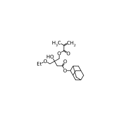 C=C(C)C(=O)OCC(O)(COCC)CC(=O)OC1C2CC3CC(C2)CC1C3